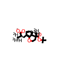 [2H]C([2H])([2H])[C@H](Cc1cccc2c1OCCC2(C(=O)OC(C)(C)C)C([2H])([2H])[2H])C(=O)OC